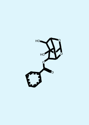 O=C(OC1C2OC3OC(C2O)C(O)C1O3)c1ccccc1